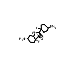 NC(=O)[C@]1(F)CC[C@H](N)CC1NC(=O)C1(F)CCC(N)CC1